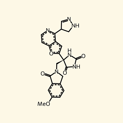 COc1ccc2c(c1)C(=O)N(C[C@@]1(c3cc4c(C5C=NNC5)nccc4o3)NC(=O)NC1=O)C2